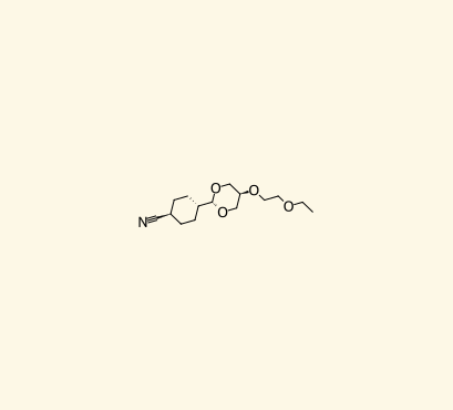 CCOCCO[C@H]1CO[C@H]([C@H]2CC[C@H](C#N)CC2)OC1